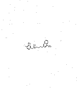 CC(=O)c1cc(CNCCCCCc2cc(C(C)C)c3ccccc3c2)ccc1C